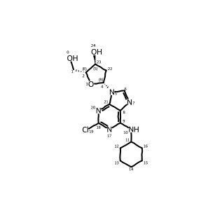 OC[C@H]1O[C@@H](n2cnc3c(NC4CCCCC4)nc(Cl)nc32)C[C@@H]1O